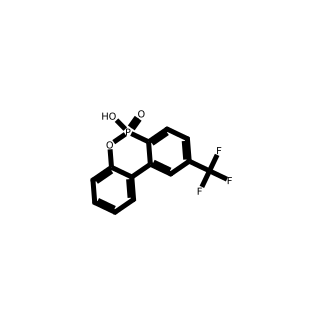 O=P1(O)Oc2ccccc2-c2cc(C(F)(F)F)ccc21